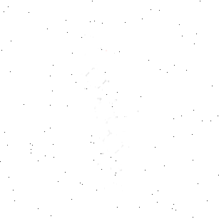 C=C(C)C(=O)Oc1ccc(-c2ccc(-c3ccc(OC(O)C(=C)C)cc3)c(CC)c2)cc1